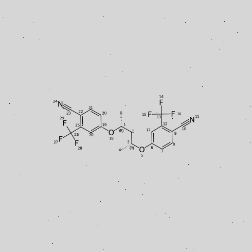 C[C@H](C[C@@H](C)Oc1ccc(C#N)c(C(F)(F)F)c1)Oc1ccc(C#N)c(C(F)(F)F)c1